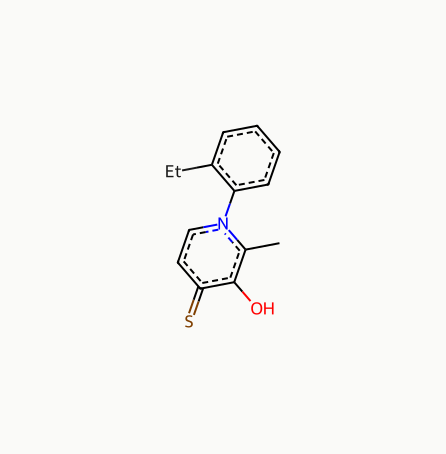 CCc1ccccc1-n1ccc(=S)c(O)c1C